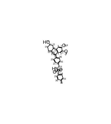 COc1cc2c(cc1OC)C1CC(O)CCC1N=C2c1ccc(CNS(=O)(=O)c2ccc(C)cc2)cc1